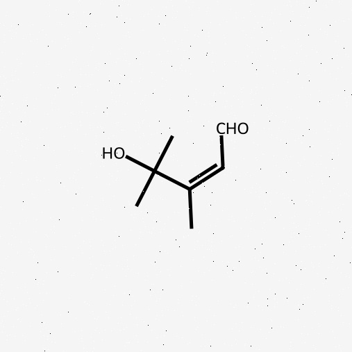 CC(=CC=O)C(C)(C)O